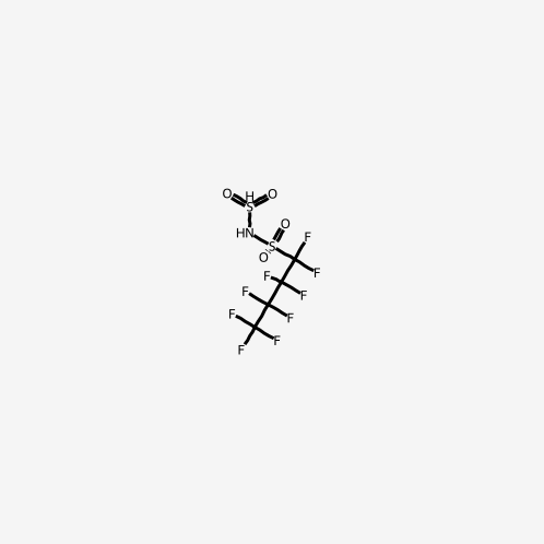 O=[SH](=O)NS(=O)(=O)C(F)(F)C(F)(F)C(F)(F)C(F)(F)F